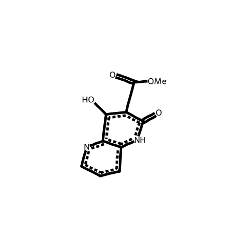 COC(=O)c1c(O)c2ncccc2[nH]c1=O